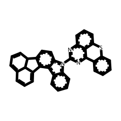 C1=CC2=CC=CC3c4ccc5c(c4C(=C1)C23)c1ccccc1n5-c1nc2c3c(cccc3n1)Sc1ccccc1-2